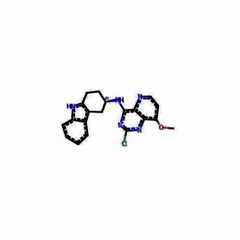 COc1ccnc2c(N[C@@H]3CCc4[nH]c5ccccc5c4C3)nc(Cl)nc12